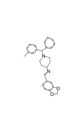 Cc1cccc(C(c2ccccc2)N2CCC(N=Cc3ccc4c(c3)OCO4)CC2)c1